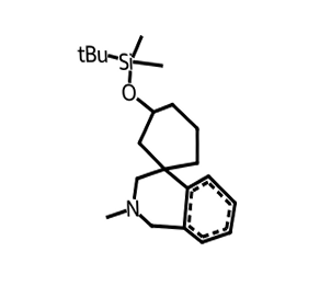 CN1Cc2ccccc2C2(CCCC(O[Si](C)(C)C(C)(C)C)C2)C1